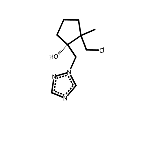 CC1(CCl)CCC[C@]1(O)Cn1cncn1